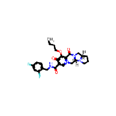 CCCCOc1c2n(cc(C(=O)NCc3ccc(F)cc3F)c1=O)C[C@@H]1N(C[C@H]3CCCN31)C2=O